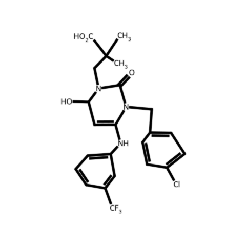 CC(C)(CN1C(=O)N(Cc2ccc(Cl)cc2)C(Nc2cccc(C(F)(F)F)c2)=CC1O)C(=O)O